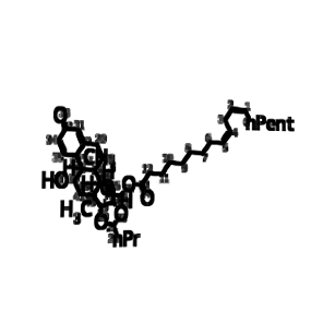 CCCCC/C=C\C/C=C\CCCCCCCC(=O)OCC(=O)[C@@]12O[C@H](CCC)O[C@@H]1C[C@H]1[C@@H]3CCC4=CC(=O)C=C[C@]4(C)[C@H]3[C@@H](O)C[C@@]12C